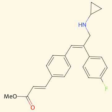 COC(=O)C=Cc1ccc(/C=C(/CNC2CC2)c2ccc(F)cc2)cc1